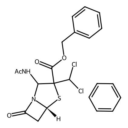 CC(=O)NC1N2C(=O)C[C@H]2SC1(C(=O)OCc1ccccc1)C(Cl)Cl.c1ccccc1